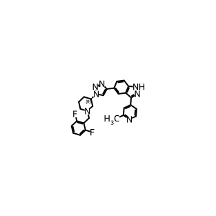 Cc1cc(-c2n[nH]c3ccc(-c4cn([C@@H]5CCCN(Cc6c(F)cccc6F)C5)nn4)cc23)ccn1